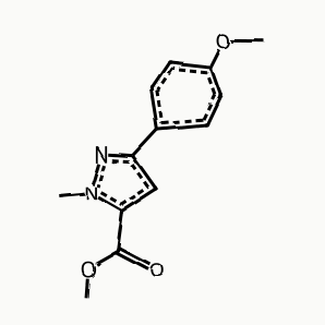 COC(=O)c1cc(-c2ccc(OC)cc2)nn1C